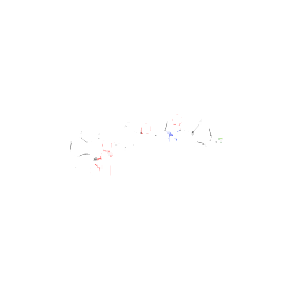 Cc1cccc(COC2CCC(OCc3coc(-c4ccc(F)cc4)n3)CC2)c1C(=O)O